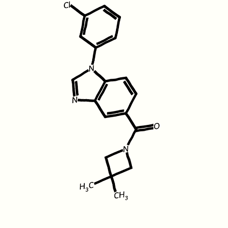 CC1(C)CN(C(=O)c2ccc3c(c2)ncn3-c2cccc(Cl)c2)C1